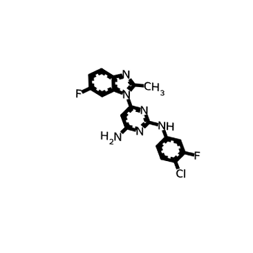 Cc1nc2ccc(F)cc2n1-c1cc(N)nc(Nc2ccc(Cl)c(F)c2)n1